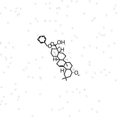 CO[C@@H]1CC(C)(C)C[C@H]2C3=CC[C@@H]4[C@@]5(C)CC[C@H](OCc6ccccc6)[C@](C)(C(=O)O)[C@@H]5CC[C@@]4(C)[C@]3(C)CC[C@@]12C